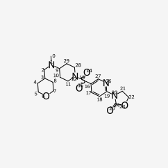 CN(CC1CCOCC1)C1CCN(S(=O)(=O)c2ccc(N3CCOC3=O)nc2)CC1